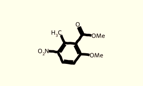 COC(=O)c1c(OC)ccc([N+](=O)[O-])c1C